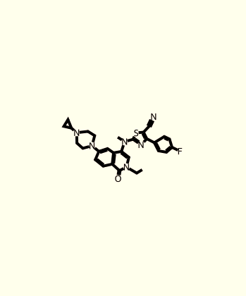 CCn1cc(N(C)c2nc(-c3ccc(F)cc3)c(C#N)s2)c2cc(N3CCN(C4CC4)CC3)ccc2c1=O